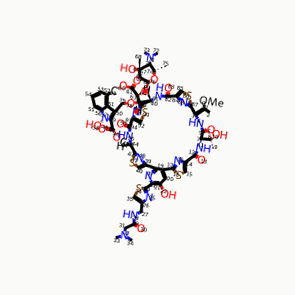 CO/C(C)=C1/NC(=O)[C@H]([C@@H](C)O)NC(=O)c2csc(n2)-c2cc(O)c(-c3nc(CNC(=O)CN(C)C)cs3)nc2-c2csc(n2)[C@@H]2COC(=O)c3c4c5c(cccc5n3O)COC(=O)[C@@H](O[C@H]3C[C@](C)(O)[C@H](N(C)C)[C@H](C)O3)[C@@H](OC4)[C@H](NC(=O)c3csc1n3)c1nc(cs1)C(=O)N2